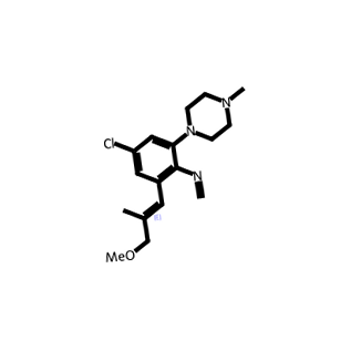 C=Nc1c(/C=C(\C)COC)cc(Cl)cc1N1CCN(C)CC1